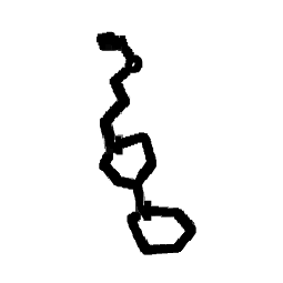 CC(C)(C)OCCCN1CCC(N2CCCCC2)CC1